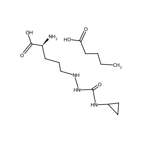 CCCCC(=O)O.N[C@@H](CCCNNC(=O)NC1CC1)C(=O)O